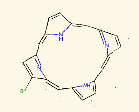 BrC1=Cc2cc3ccc(cc4nc(cc5ccc(cc1n2)[nH]5)C=C4)[nH]3